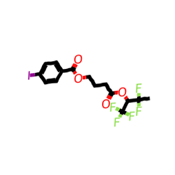 CC(F)(F)C(OC(=O)CCCOC(=O)c1ccc(I)cc1)C(F)(F)F